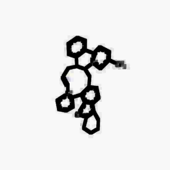 Cc1ccc2[n+](c1)C1Cc3ccc4c5c(oc4c3-c3cccc[n+]3/C=C/CC1c1ccccc1-2)CCCC5